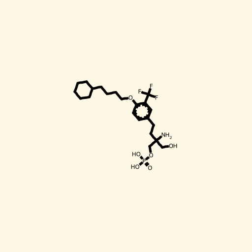 NC(CO)(CCc1ccc(OCCCCC2CCCCC2)c(C(F)(F)F)c1)COP(=O)(O)O